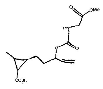 C=CC(CC[C@@H]1C(C)C1C(=O)OCC)OC(=O)NCC(=O)OC